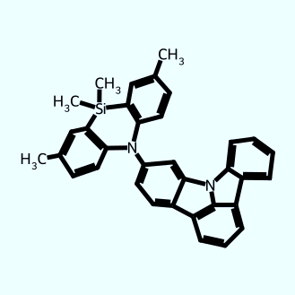 Cc1ccc2c(c1)[Si](C)(C)c1cc(C)ccc1N2c1ccc2c3cccc4c5ccccc5n(c2c1)c43